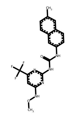 CONc1cc(C(F)(F)F)nc(NC(=O)Nc2ccc3cc(C)ccc3c2)n1